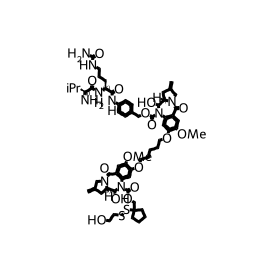 C=C1C[C@H]2C(O)N(C(=O)OCc3ccc(NC(=O)[C@H](CCCNC(N)=O)NC(=O)[C@@H](N)C(C)C)cc3)c3cc(OCCCCCOc4cc5c(cc4OC)C(=O)N4CC(=C)C[C@H]4C(O)N5C(=O)OCC4(SSCCO)CCCC4)c(OC)cc3C(=O)N2C1